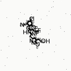 COc1nnc(Cc2nc(C(F)(F)F)c(Oc3cc(Cl)cc(C#N)c3)c(=O)[nH]2)cc1CCO